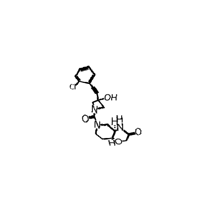 O=C1CO[C@H]2CCN(C(=O)N3CC(O)(C#Cc4ccccc4Cl)C3)C[C@H]2N1